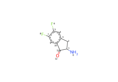 NC1Cc2cc(F)c(F)cc2C1=O